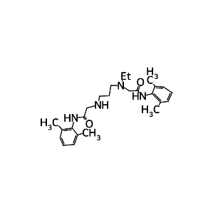 CCN(CCCNCC(=O)Nc1c(C)cccc1C)CC(=O)Nc1c(C)cccc1C